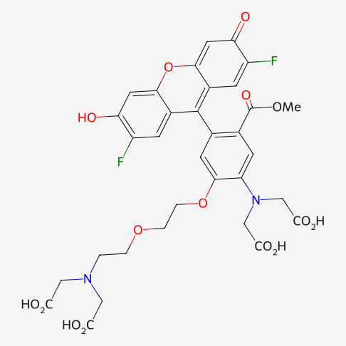 COC(=O)c1cc(N(CC(=O)O)CC(=O)O)c(OCCOCCN(CC(=O)O)CC(=O)O)cc1-c1c2cc(F)c(=O)cc-2oc2cc(O)c(F)cc12